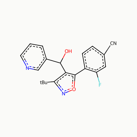 CC(C)(C)c1noc(-c2ccc(C#N)cc2F)c1C(O)c1cccnc1